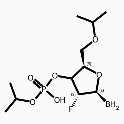 B[C@@H]1O[C@H](COC(C)C)C(OP(=O)(O)OC(C)C)[C@H]1F